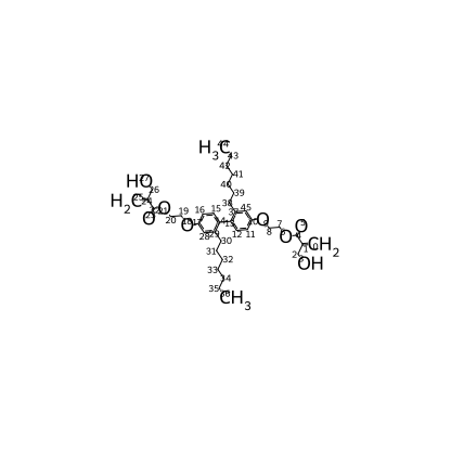 C=C(CO)C(=O)OCCOc1ccc(-c2ccc(OCCOC(=O)C(=C)CO)cc2CCCCCCC)c(CCCCCCC)c1